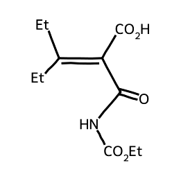 CCOC(=O)NC(=O)C(C(=O)O)=C(CC)CC